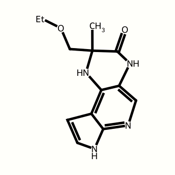 CCOCC1(C)Nc2c(cnc3[nH]ccc23)NC1=O